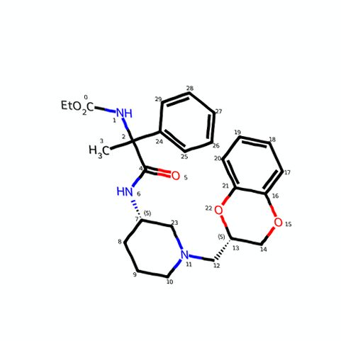 CCOC(=O)NC(C)(C(=O)N[C@H]1CCCN(C[C@H]2COc3ccccc3O2)C1)c1ccccc1